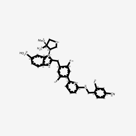 CO[C@@]1(C)COC[C@H]1n1c(Cc2cc(F)c(-c3cccc(OCc4ccc(C#N)cc4F)n3)cc2F)nc2ccc(C(=O)O)cc21